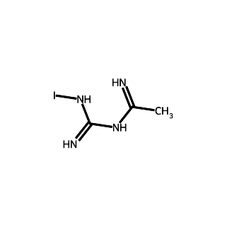 CC(=N)NC(=N)NI